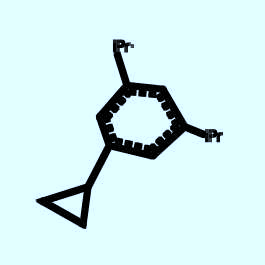 C[C](C)c1cc(C(C)C)cc(C2CC2)c1